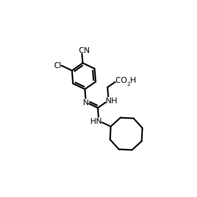 N#Cc1ccc(N=C(NCC(=O)O)NC2CCCCCCC2)cc1Cl